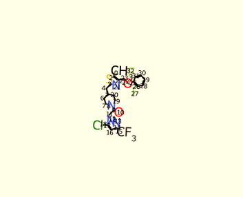 Cc1sc(CC2CCN(C(=O)Cn3nc(C(F)(F)F)cc3Cl)CC2)nc1COc1c(F)cccc1F